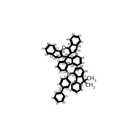 CC1(C)c2ccccc2-c2c(N(c3ccc(-c4ccccc4)cc3)c3cccc4c3-c3ccccc3C43c4ccc5ccccc5c4Oc4c3ccc3ccccc43)cccc21